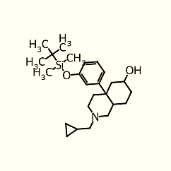 CC(C)(C)[Si](C)(C)Oc1cccc(C23CCN(CC4CC4)CC2CCC(O)C3)c1